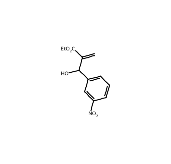 C=C(C(=O)OCC)C(O)c1cccc([N+](=O)[O-])c1